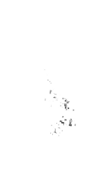 CC(C)(COP(=O)(O)OP(=O)(O)OC[C@H]1O[C@@H](n2cnc3c(N)ncnc32)[C@H](O)[C@@H]1OP(=O)(O)O)[C@@H](O)C(=O)NCCC(=O)NCCSC(=O)CCCCCCCCCCO